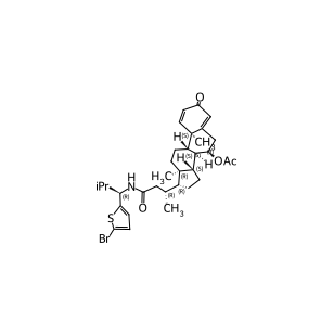 CC(=O)O[C@@H]1CC2=CC(=O)C=C[C@]2(C)[C@H]2CC[C@]3(C)[C@@H]([C@H](C)CC(=O)N[C@@H](c4ccc(Br)s4)C(C)C)CC[C@H]3[C@H]12